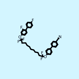 N#Cc1ccc(-c2ccc(OC(F)(F)CCCCCCCCCC(F)(F)Oc3ccc(-c4ccc(F)cc4)c(F)c3)cc2)cc1